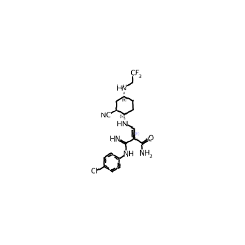 N#CC1C[C@H](NCC(F)(F)F)CC[C@@H]1N/C=C(\C(=N)Nc1ccc(Cl)cc1)C(N)=O